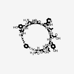 CCC[C@@H]1NC(=O)[C@H](Cc2c[nH]c3ncccc23)NC(=O)[C@H]([C@@H](C)O)NC(=O)[C@@H]2C[C@H](N)CN2C(=O)[C@H](Cc2ccc(O)cc2)NC(=O)C(C(C)(C)C)NC(=O)CCSCc2cccc(c2)CSC[C@@H](C(N)=O)NC(=O)[C@H]([C@@H](C)O)NC(=O)[C@H](CCC)NC(=O)[C@H](Cc2ccc(O)cc2)NC(=O)[C@H](CCC(=O)O)NC1=O